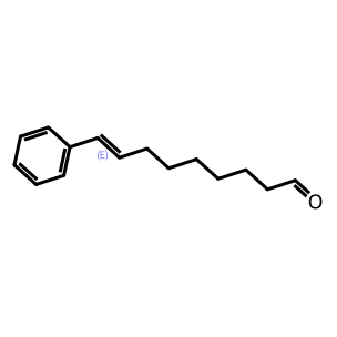 O=CCCCCCC/C=C/c1ccccc1